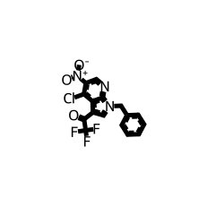 O=C(c1cn(Cc2ccccc2)c2ncc([N+](=O)[O-])c(Cl)c12)C(F)(F)F